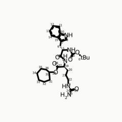 CC(C)(C)OC(=O)N[C@@H](Cc1c[nH]c2ccccc12)C(=O)N[C@@H](CCCNC(N)=O)C(=O)OC1CCCCCC1